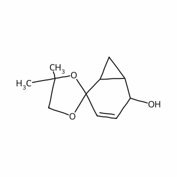 CC1(C)COC2(C=CC(O)C3CC32)O1